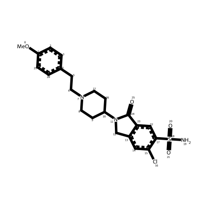 COc1ccc(CCN2CCC(N3Cc4cc(Cl)c(S(N)(=O)=O)cc4C3=O)CC2)cc1